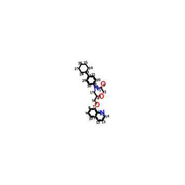 O=C1COC(COc2cccc3cccnc23)CN1c1ccc(C2CCCCC2)cc1